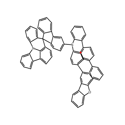 c1ccc(-c2ccc(-c3ccccc3N(c3ccc(-c4ccc5oc6ccccc6c5c4)cc3)c3ccc4c(c3)-c3ccccc3C43c4ccccc4-n4c5ccccc5c5cccc3c54)cc2)cc1